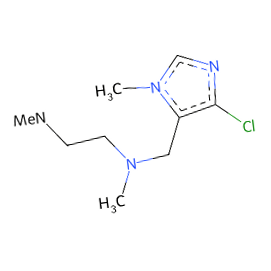 CNCCN(C)Cc1c(Cl)ncn1C